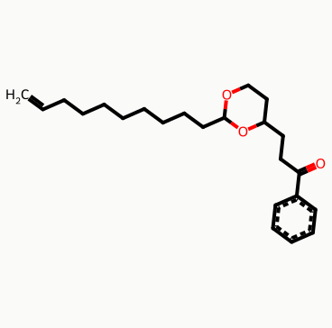 C=CCCCCCCCCC1OCCC(CCC(=O)c2ccccc2)O1